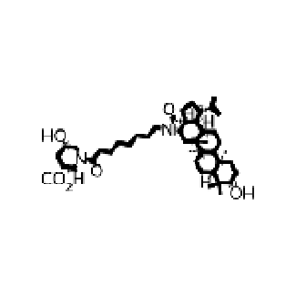 C=C(C)[C@@H]1CC[C@]2(C(=O)NCCCCCCCC(=O)N3C[C@@H](O)CC[C@@H]3C(=O)O)CC[C@]3(C)[C@H](CCC4[C@@]5(C)CC[C@H](O)C(C)(C)[C@@H]5CC[C@]43C)[C@@H]12